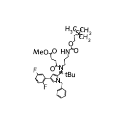 COC(=O)CCC(=O)N(CCCNC(=O)OCC[Si](C)(C)C)[C@@H](c1cc(-c2cc(F)ccc2F)cn1Cc1ccccc1)C(C)(C)C